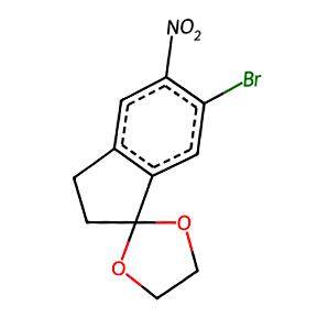 O=[N+]([O-])c1cc2c(cc1Br)C1(CC2)OCCO1